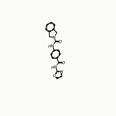 O=C(Nc1ncco1)c1ccc(NC(=O)N2Cc3ccccc3C2)cc1